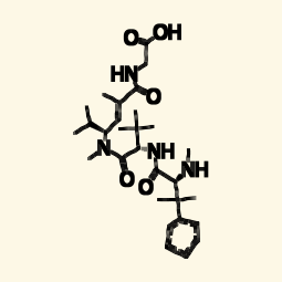 CN[C@H](C(=O)N[C@H](C(=O)N(C)[C@H](/C=C(\C)C(=O)NCC(=O)O)C(C)C)C(C)(C)C)C(C)(C)c1ccccc1